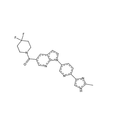 Cc1nc(-c2ccc(-n3ccc4cc(C(=O)N5CCC(F)(F)CC5)cnc43)cn2)c[nH]1